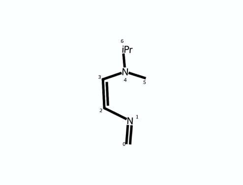 C=N/C=C\N(C)C(C)C